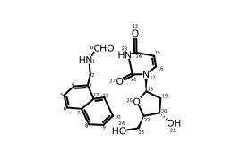 O=CNCc1cccc2ccccc12.O=c1ccn([C@H]2C[C@H](O)[C@@H](CO)O2)c(=O)[nH]1